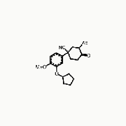 COc1ccc(C2(C#N)CCC(=O)C(C(C)=O)C2)cc1OC1CCCC1